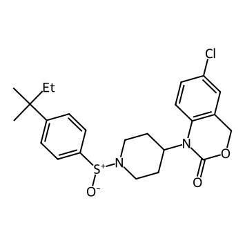 CCC(C)(C)c1ccc([S+]([O-])N2CCC(N3C(=O)OCc4cc(Cl)ccc43)CC2)cc1